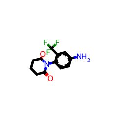 Nc1ccc(N2C(=O)CCCC2=O)c(C(F)(F)F)c1